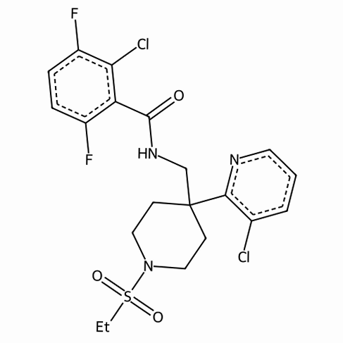 CCS(=O)(=O)N1CCC(CNC(=O)c2c(F)ccc(F)c2Cl)(c2ncccc2Cl)CC1